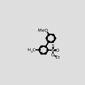 CCOS(=O)(=S)c1ccc(C)cc1-c1cccc(OC)c1